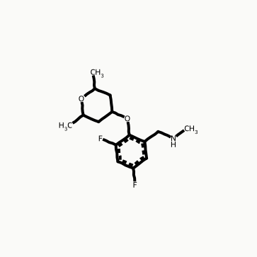 CNCc1cc(F)cc(F)c1OC1CC(C)OC(C)C1